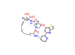 NC1CCCCCC=C[C@@H]2C[C@@]2(C(=O)O)NC(=O)[C@@H]2C[C@@H](Oc3cc(-c4ccccn4)nc4ccsc34)CN2C1=O